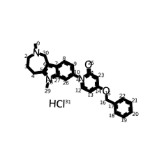 CN1CCCc2c(c3ccc(-n4ccc(OCc5ccccc5)cc4=O)cc3n2C)C1.Cl